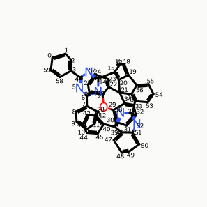 c1ccc(-c2nc(-c3ccccc3)nc(-c3cccc4c3C3(c5ccccc5Oc5ccccc53)c3c(-c5nc(-c6ccccc6)c6ccccc6n5)cccc3-4)n2)cc1